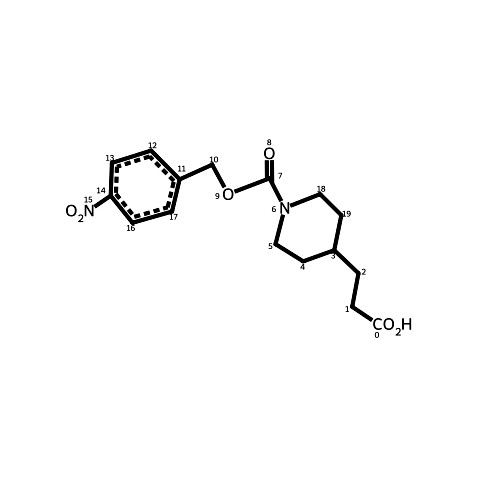 O=C(O)CCC1CCN(C(=O)OCc2ccc([N+](=O)[O-])cc2)CC1